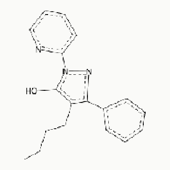 CCCCc1c(-c2ccccc2)nn(-c2ccccn2)c1O